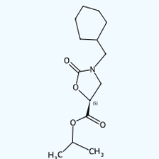 CC(C)OC(=O)[C@@H]1CN(CC2CCCCC2)C(=O)O1